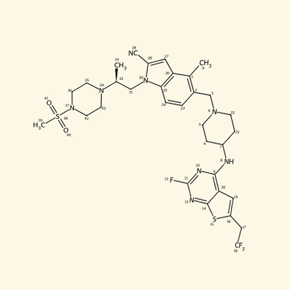 Cc1c(CN2CCC(Nc3nc(F)nc4sc(CC(F)(F)F)cc34)CC2)ccc2c1cc(C#N)n2C[C@H](C)N1CCN(S(C)(=O)=O)CC1